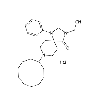 Cl.N#CCN1CN(c2ccccc2)C2(CCN(C3CCCCCCCCC3)CC2)C1=O